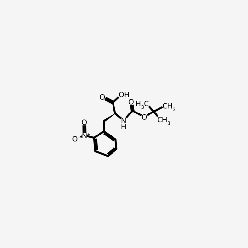 CC(C)(C)OC(=O)N[C@@H](Cc1ccccc1[N+](=O)[O-])C(=O)O